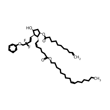 C=CCCCCCCCCC(=O)O[C@H]1C[C@@H](O)[C@H](/C=C/C(F)(F)COc2ccccc2)[C@H]1C/C=C\CCCC(=O)OCCCCCCCC/C=C\CCCCCC